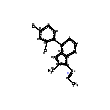 C/C=N/c1c2cccc(-c3ccc(Cl)cc3Cl)c2nn1C